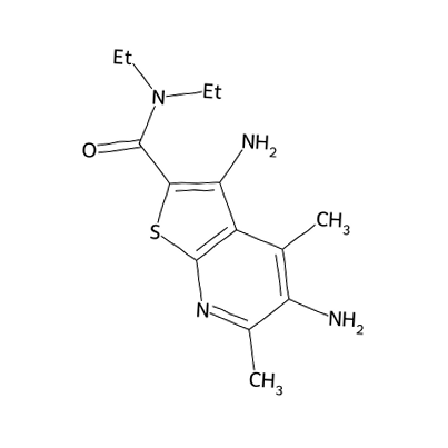 CCN(CC)C(=O)c1sc2nc(C)c(N)c(C)c2c1N